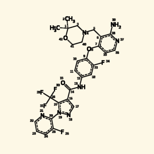 CC1(C)CN(Cc2c(Oc3ccc(NC(=O)c4cnn(-c5ncccc5F)c4C(F)(F)F)cc3F)ccnc2N)CCO1